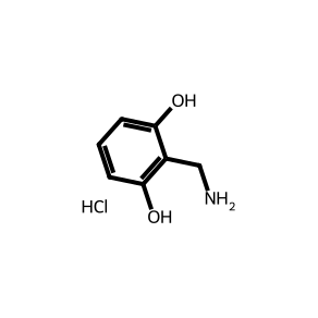 Cl.NCc1c(O)cccc1O